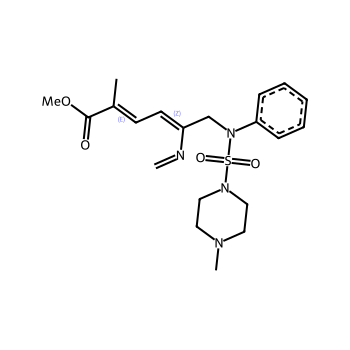 C=N/C(=C\C=C(/C)C(=O)OC)CN(c1ccccc1)S(=O)(=O)N1CCN(C)CC1